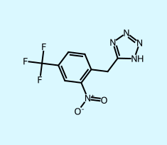 O=[N+]([O-])c1cc(C(F)(F)F)ccc1Cc1nnn[nH]1